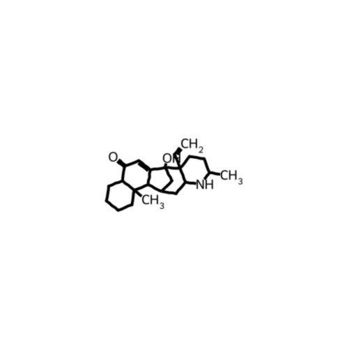 C=CC12CCC(C)NC1CC1CC2(O)C2=CC(=O)C3CCCCC3(C)C21